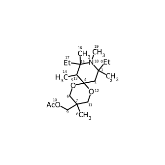 CCC1(C)CC2(OCC(C)(COC(C)=O)CO2)C(C)C(C)(CC)N1C